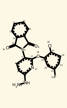 NNc1ccc(N2C(=O)c3ccccc3C2=O)c(Oc2cc(F)ccc2Cl)n1